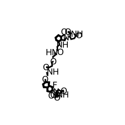 O=C(CCOCCNC(=O)CNc1cccc2c1CN(C1CCC(=O)NC1=O)C2=O)NCCOc1ccc2cc(O)c(N3CC(=O)NS3(=O)=O)c(F)c2c1